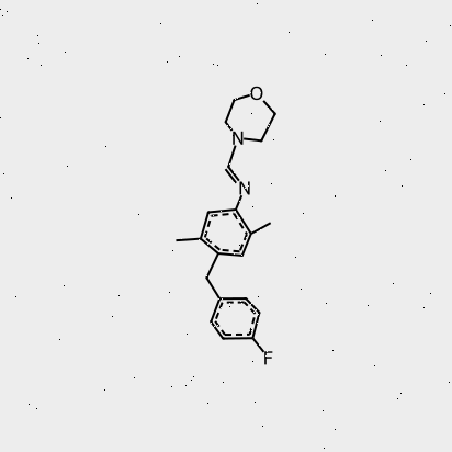 Cc1cc(/N=C/N2CCOCC2)c(C)cc1Cc1ccc(F)cc1